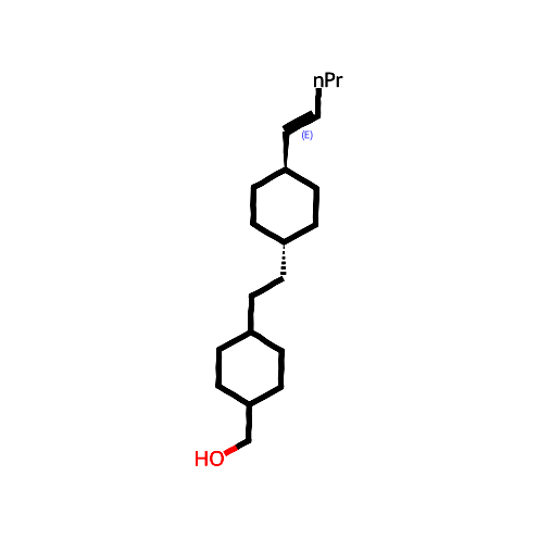 CCC/C=C/[C@H]1CC[C@H](CCC2CCC(CO)CC2)CC1